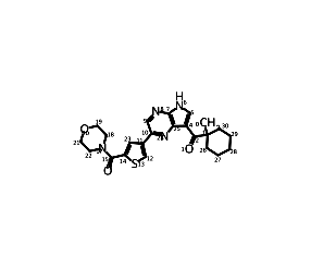 CC1(C(=O)c2c[nH]c3ncc(-c4csc(C(=O)N5CCOCC5)c4)nc23)CCCCC1